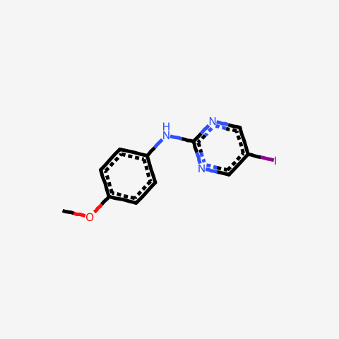 COc1ccc(Nc2ncc(I)cn2)cc1